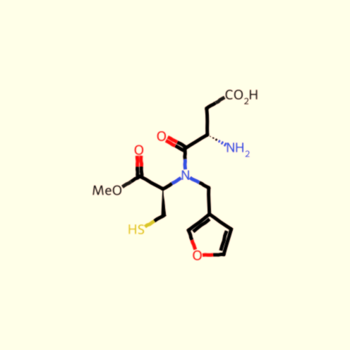 COC(=O)[C@H](CS)N(Cc1ccoc1)C(=O)[C@@H](N)CC(=O)O